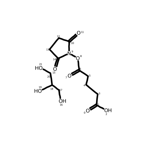 O=C(O)CCCC(=O)ON1C(=O)CCC1=O.OCC(O)CO